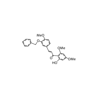 COc1cc(O)c(C(=O)C=Cc2ccc(OC)c(OCc3ccccc3)c2)c(OC)c1